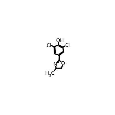 CC1COC(c2cc(Cl)c(O)c(Cl)c2)=N1